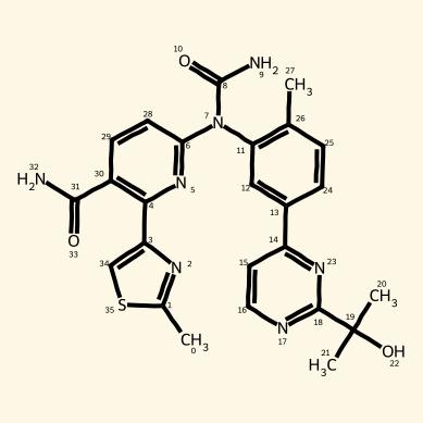 Cc1nc(-c2nc(N(C(N)=O)c3cc(-c4ccnc(C(C)(C)O)n4)ccc3C)ccc2C(N)=O)cs1